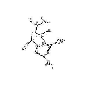 COc1cc(C(F)(F)F)cc(C(N)=O)c1C1CCCN(C)C1